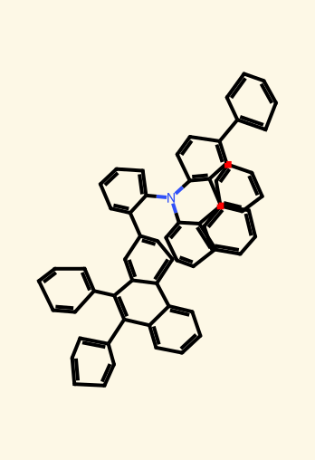 c1ccc(-c2ccc(N(c3ccccc3-c3ccccc3)c3ccccc3-c3ccc4c(c3)c(-c3ccccc3)c(-c3ccccc3)c3ccccc34)c(-c3ccccc3)c2)cc1